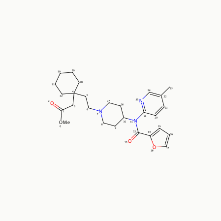 COC(=O)CC1(CCN2CCC(N(C(=O)c3ccco3)c3ccc(C)cn3)CC2)CCCCC1